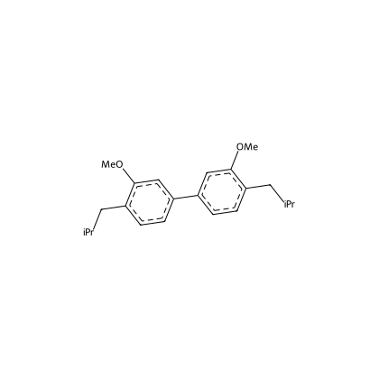 COc1cc(-c2ccc(CC(C)C)c(OC)c2)ccc1CC(C)C